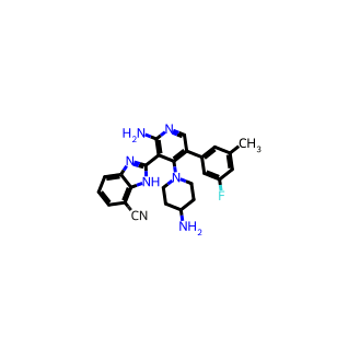 Cc1cc(F)cc(-c2cnc(N)c(-c3nc4cccc(C#N)c4[nH]3)c2N2CCC(N)CC2)c1